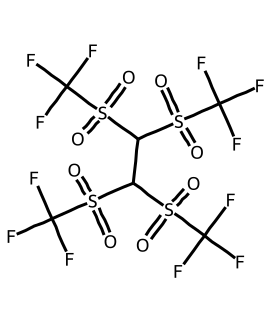 O=S(=O)(C(C(S(=O)(=O)C(F)(F)F)S(=O)(=O)C(F)(F)F)S(=O)(=O)C(F)(F)F)C(F)(F)F